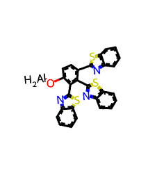 [AlH2][O]c1ccc(-c2nc3ccccc3s2)c(-c2nc3ccccc3s2)c1-c1nc2ccccc2s1